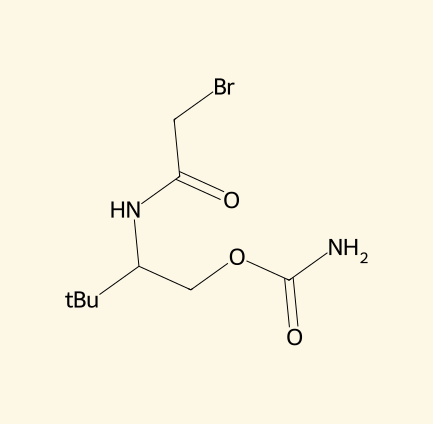 CC(C)(C)C(COC(N)=O)NC(=O)CBr